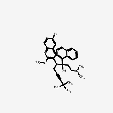 COc1nc2ccc(Br)cc2cc1C(CC#CC(C)(C)C)C(O)(CCN(C)C)c1cccc2ccccc12